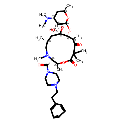 CO[C@]1(C)C[C@@H](C)CN(C)[C@@H](C(=O)N2CCN(CCc3ccccc3)CC2)[C@H](C)OC(=O)C(C)(C)C(=O)[C@H](C)[C@H]1O[C@@H]1O[C@H](C)C[C@H](N(C)C)[C@H]1O